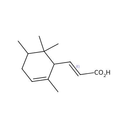 CC1=CCC(C)C(C)(C)C1/C=C/C(=O)O